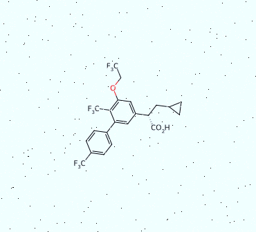 O=C(O)[C@@H](CC1CC1)c1cc(OCC(F)(F)F)c(C(F)(F)F)c(-c2ccc(C(F)(F)F)cc2)c1